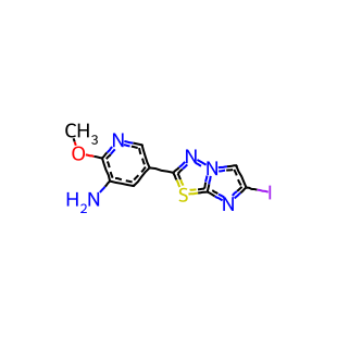 COc1ncc(-c2nn3cc(I)nc3s2)cc1N